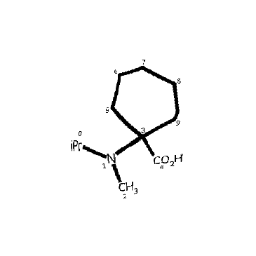 CC(C)N(C)C1(C(=O)O)CCCCC1